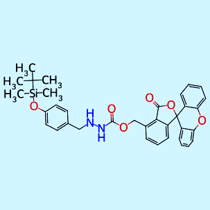 CC(C)(C)[Si](C)(C)Oc1ccc(CNNC(=O)OCc2cccc3c2C(=O)OC32c3ccccc3Oc3ccccc32)cc1